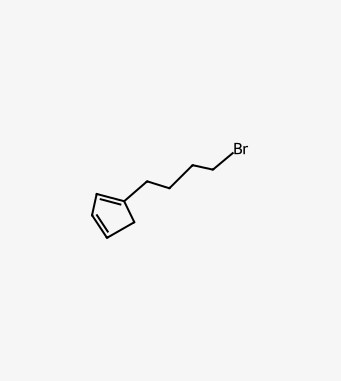 BrCCCCC1=CC=CC1